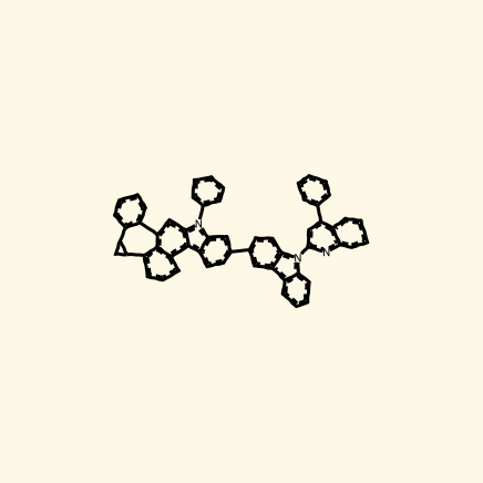 c1ccc(-c2cc(-n3c4ccccc4c4cc(-c5ccc6c7c8cccc9c8c(cc7n(-c7ccccc7)c6c5)-c5ccccc5C5CC95)ccc43)nc3ccccc23)cc1